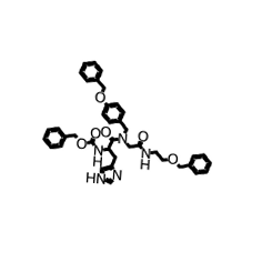 O=C(CN(Cc1ccc(OCc2ccccc2)cc1)C(=O)C(Cc1c[nH]cn1)NC(=O)OCc1ccccc1)NCCOCc1ccccc1